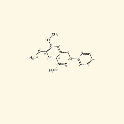 COc1cc(COc2c[c]ccc2)c([N+](N)=O)cc1OC